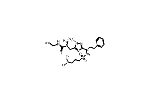 CCN(CC)CCCS(=O)(=O)N[C@H](CCc1ccccc1)c1nc(CN(C)C(=O)NCC(C)C)n(C)n1